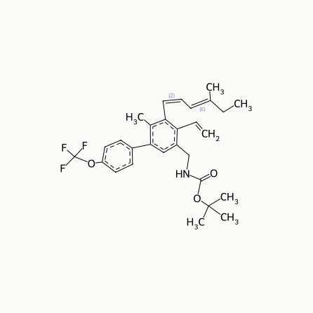 C=Cc1c(CNC(=O)OC(C)(C)C)cc(-c2ccc(OC(F)(F)F)cc2)c(C)c1/C=C\C=C(/C)CC